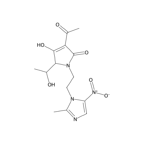 CC(=O)C1=C(O)C(C(C)O)N(CCn2c([N+](=O)[O-])cnc2C)C1=O